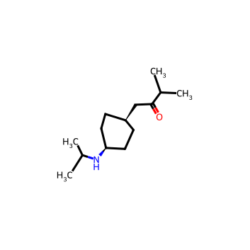 CC(C)N[C@H]1CC[C@@H](CC(=O)C(C)C)CC1